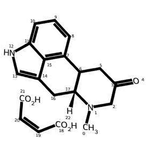 CN1CC(=O)CC2c3cccc4[nH]cc(c34)C[C@H]21.O=C(O)/C=C\C(=O)O